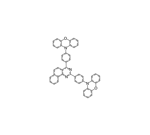 c1ccc2c(c1)Oc1ccccc1N2c1ccc(-c2nc(-c3ccc(N4c5ccccc5Oc5ccccc54)cc3)c3ccc4ccccc4c3n2)cc1